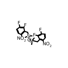 C[Si](C)(Cc1c([N+](=O)[O-])ccc(F)c1F)O[Si](C)(C)Cc1c([N+](=O)[O-])ccc(F)c1F